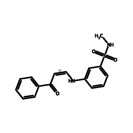 CNS(=O)(=O)c1cccc(N/C=C\C(=O)c2ccccc2)c1